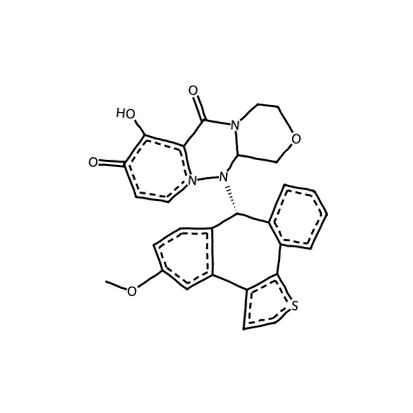 COc1ccc2c(c1)-c1ccsc1-c1ccccc1[C@H]2N1C2COCCN2C(=O)c2c(O)c(=O)ccn21